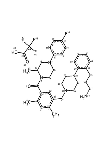 Cc1cc(C)c(C(=O)N2CCN(c3ccc(F)cn3)CC2C)cc1CN1CCN(c2ccccc2CCCN)CC1.O=C(O)C(F)(F)F